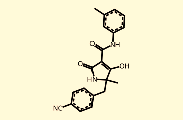 Cc1cccc(NC(=O)C2=C(O)C(C)(Cc3ccc(C#N)cc3)NC2=O)c1